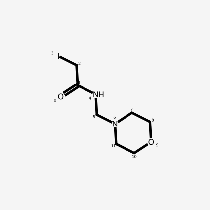 O=C(CI)NCN1CCOCC1